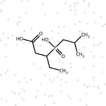 CCC(CC(=O)O)P(=O)(O)CC(C)C